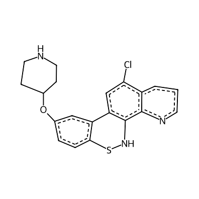 Clc1cc2c(c3ncccc13)NSc1ccc(OC3CCNCC3)cc1-2